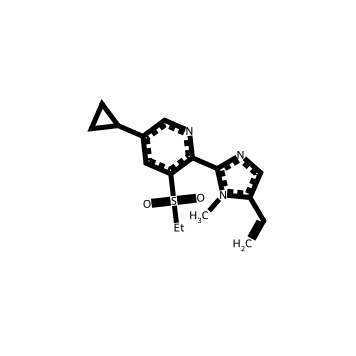 C=Cc1cnc(-c2ncc(C3CC3)cc2S(=O)(=O)CC)n1C